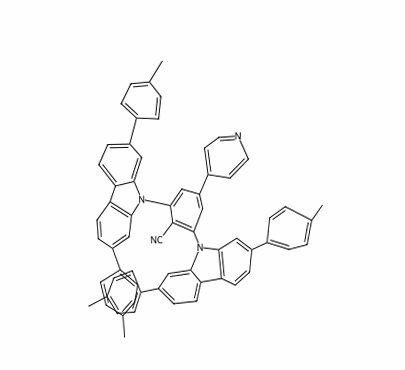 Cc1ccc(-c2ccc3c4ccc(-c5ccc(C)cc5)cc4n(-c4cc(-c5ccncc5)cc(-n5c6cc(-c7ccc(C)cc7)ccc6c6ccc(-c7ccc(C)cc7)cc65)c4C#N)c3c2)cc1